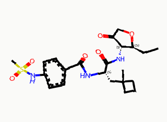 CC[C@@H]1OCC(=O)[C@H]1NC(=O)[C@H](CC1(C)CCC1)NC(=O)c1ccc(NS(C)(=O)=O)cc1